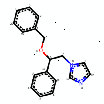 c1ccc(COC(Cn2ccnc2)c2ccccc2)cc1